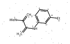 C=C(NC)C(=C)Nc1cccc(CC)c1